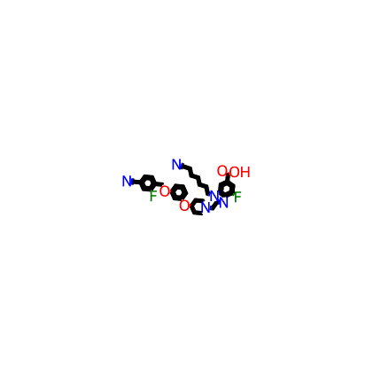 N#CCCCCCCn1c(CN2CCC(Oc3cccc(OCc4ccc(C#N)cc4F)c3)CC2)nc2c(F)cc(C(=O)O)cc21